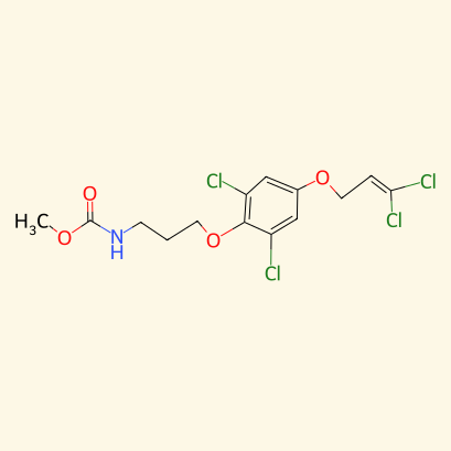 COC(=O)NCCCOc1c(Cl)cc(OCC=C(Cl)Cl)cc1Cl